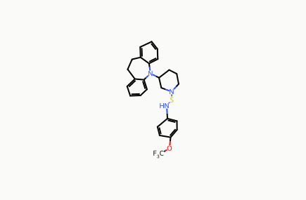 FC(F)(F)Oc1ccc(NSN2CCCC(N3c4ccccc4CCc4ccccc43)C2)cc1